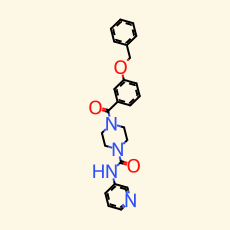 O=C(Nc1cccnc1)N1CCN(C(=O)c2cccc(OCc3ccccc3)c2)CC1